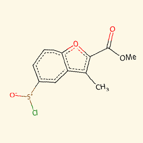 COC(=O)c1oc2ccc([S+]([O-])Cl)cc2c1C